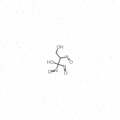 O=NC(CO)C(O)(N=O)N=O